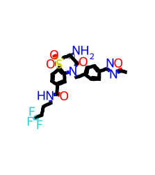 Cc1nc(-c2ccc(CN3C(=O)[C@@H](N)CS(=O)(=O)c4ccc(C(=O)NCCCC(F)(F)F)cc43)cc2)no1